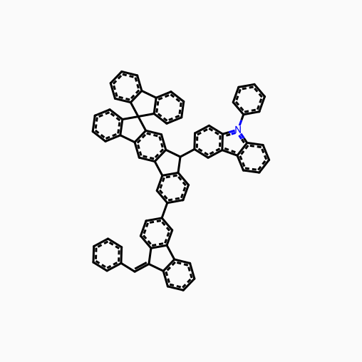 C(=C1\c2ccccc2-c2cc(-c3ccc4c(c3)-c3cc5c(cc3C4c3ccc4c(c3)c3ccccc3n4-c3ccccc3)C3(c4ccccc4-c4ccccc43)c3ccccc3-5)ccc21)/c1ccccc1